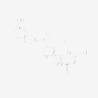 Cc1cc(=O)[nH]c(-n2ncc(C(=O)N3CCC4(CCN(C)C4)C3)c2C)n1